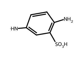 [NH]c1ccc(N)c(S(=O)(=O)O)c1